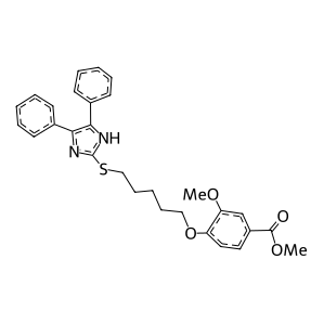 COC(=O)c1ccc(OCCCCCSc2nc(-c3ccccc3)c(-c3ccccc3)[nH]2)c(OC)c1